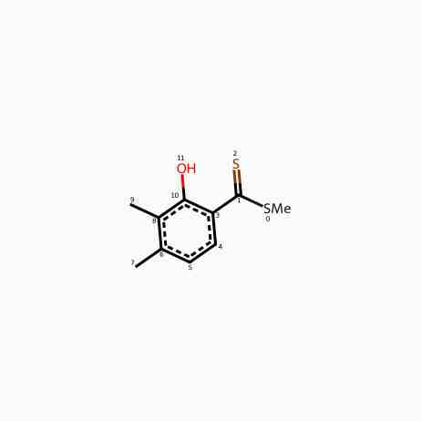 CSC(=S)c1ccc(C)c(C)c1O